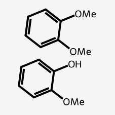 COc1ccccc1O.COc1ccccc1OC